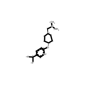 CN(N)C[C@H]1CC[C@H](Oc2ccc(C(F)F)cn2)CC1